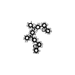 c1ccc(N(c2ccc(-c3cccc4c3oc3ccccc34)cc2)c2ccc(N(c3ccccc3)c3ccc(-c4cccc5c4oc4ccccc45)cc3)cc2)cc1